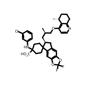 C[C@@H](COc1ccnc2c1[C@H](C)CCC2)C[C@H]1Cc2cc3c(cc2C12CCC(Nc1cccc(Cl)c1)(C(=O)O)CC2)OC(F)(F)O3